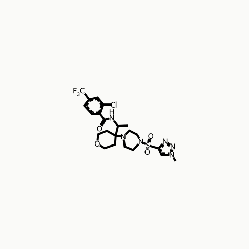 CC(NC(=O)c1ccc(C(F)(F)F)cc1Cl)C1(N2CCN(S(=O)(=O)c3cn(C)nn3)CC2)CCOCC1